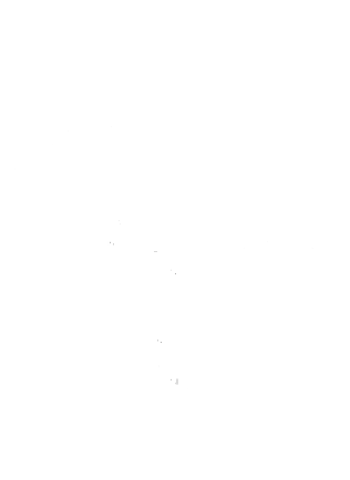 CC(C)(C)OC(=O)c1ccc(NC(=O)[C@H](CCCNC(N)=O)NC(=O)OCC2c3ccccc3-c3ccccc32)cc1